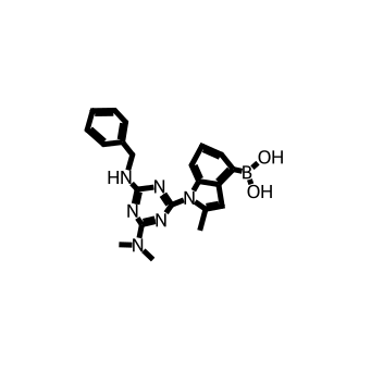 Cc1cc2c(B(O)O)cccc2n1-c1nc(NCc2ccccc2)nc(N(C)C)n1